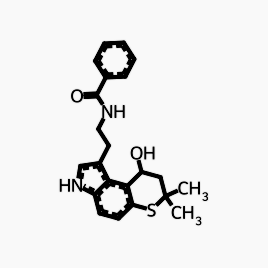 CC1(C)CC(O)c2c(ccc3[nH]cc(CCNC(=O)c4ccccc4)c23)S1